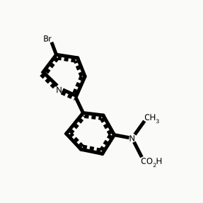 CN(C(=O)O)c1cccc(-c2ccc(Br)cn2)c1